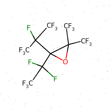 FC(F)(F)C(F)(F)C1(C(F)(C(F)(F)F)C(F)(F)F)OC1(C(F)(F)F)C(F)(F)F